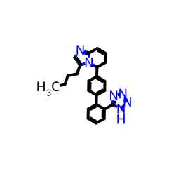 CCCCc1cnc2n1C(c1ccc(-c3ccccc3-c3nnn[nH]3)cc1)CC=C2